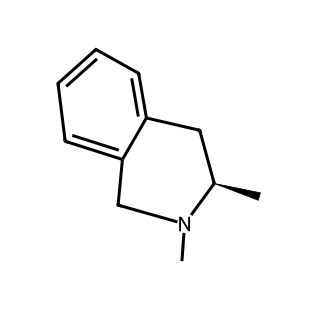 C[C@@H]1Cc2ccccc2CN1C